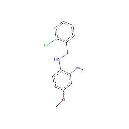 COc1ccc(NCc2ccccc2Cl)c(N)c1